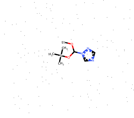 CCOC(O[Si](C)(C)C)n1cncn1